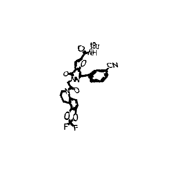 CC(C)(C)NC(=O)c1cc2c(=O)n(CC(=O)N3CCCc4c3ccc3c4OC(F)(F)O3)nc(-c3cccc(C#N)c3)c2o1